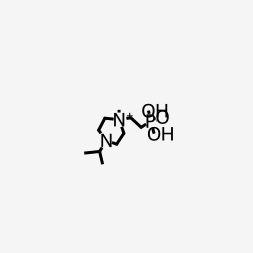 CC(C)N1CC[N+](C)(CCP(=O)(O)O)CC1